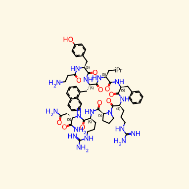 CC(C)C[C@H](NC(=O)[C@H](Cc1cccc2ccccc12)NC(=O)[C@H](Cc1ccc(O)cc1)NC(=O)CCN)C(=O)N[C@@H](Cc1ccccc1)C(=O)N[C@@H](CCCNC(=N)N)C(=O)N1CCC[C@H]1C(=O)N[C@@H](CCCNC(=N)N)C(=O)N[C@@H](CC(N)=O)C(N)=O